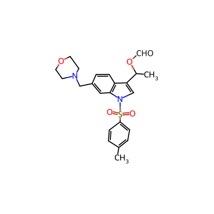 Cc1ccc(S(=O)(=O)n2cc(C(C)OC=O)c3ccc(CN4CCOCC4)cc32)cc1